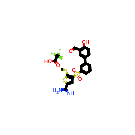 CSc1sc(C(=N)N)cc1S(=O)(=O)c1cccc(-c2ccc(O)c(C=O)c2)c1.O=C(O)C(F)(F)F